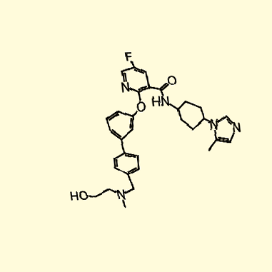 Cc1cncn1C1CCC(NC(=O)c2cc(F)cnc2Oc2cccc(-c3ccc(CN(C)CCO)cc3)c2)CC1